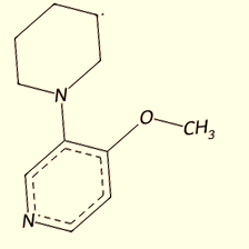 COc1ccncc1N1C[CH]CCC1